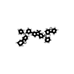 CC1(C)c2cc(-c3cccc(N(c4ccccc4)c4ccc5oc6ccccc6c5c4)c3)ccc2-c2ccc(N(c3ccccc3)c3ccc4oc5ccccc5c4c3)cc21